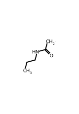 [CH2]C(=O)NCCC